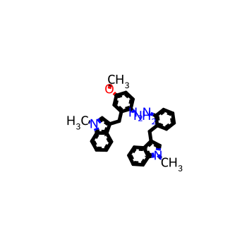 COc1ccc(N)c(Cc2cn(C)c3ccccc23)c1.Cn1cc(Cc2ccccc2N)c2ccccc21